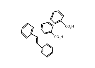 C(=Cc1ccccc1)c1ccccc1.O=C(O)c1ccccc1.O=C(O)c1ccccc1